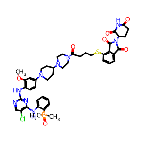 COc1cc(N2CCC(N3CCN(C(=O)CCCSc4cccc5c4C(=O)N(C4CCC(=O)NC4=O)C5=O)CC3)CC2)ccc1Nc1ncc(Cl)c(Nc2ccccc2P(C)(C)=O)n1